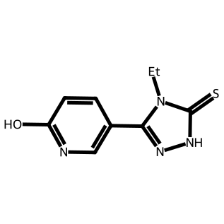 CCn1c(-c2ccc(O)nc2)n[nH]c1=S